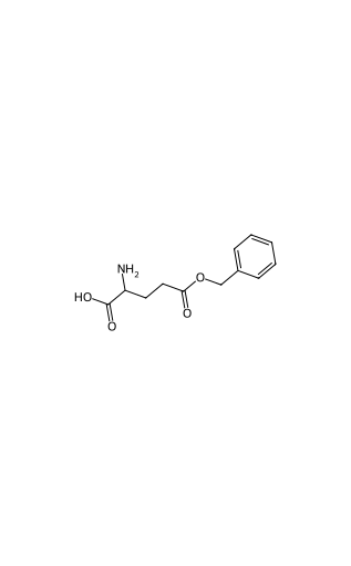 NC(CCC(=O)OCc1ccccc1)C(=O)O